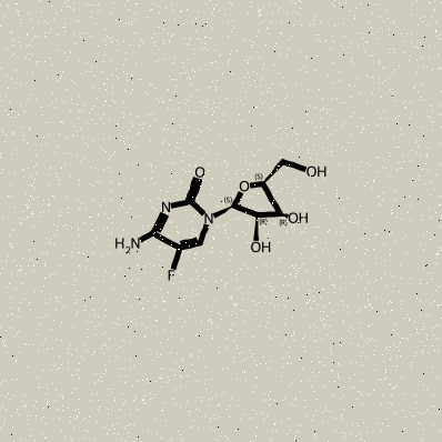 Nc1nc(=O)n([C@H]2O[C@@H](CO)[C@H](O)[C@H]2O)cc1F